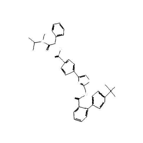 CC(C)N(C)C(=O)[C@@H](NC(=O)c1ccc(-c2csc(NC(=O)c3ccccc3-c3ccc(C(C)(C)C)cc3)n2)cc1)c1ccccc1